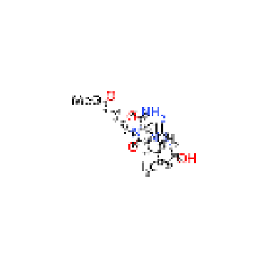 COC(=O)CCCCCN(C(=O)[C@@H](N)Cc1c(C)cc(O)cc1C)[C@H](C)C(N)=O